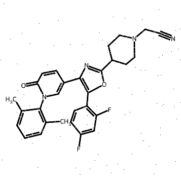 Cc1cccc(C)c1-n1cc(-c2nc(C3CCN(CC#N)CC3)oc2-c2ccc(F)cc2F)ccc1=O